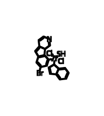 [SH][Zr]([Cl])([Cl])([c]1cc(Br)cc2c1C1C=NC=CC1=C2)[CH]1C=Cc2ccccc21